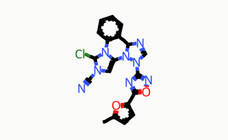 Cc1ccc(-c2nc(N3C=NC4c5ccccc5N5C(=CN(C#N)C5Cl)N43)no2)o1